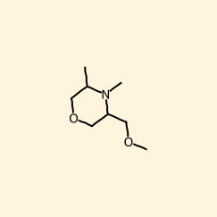 COCC1COCC(C)N1C